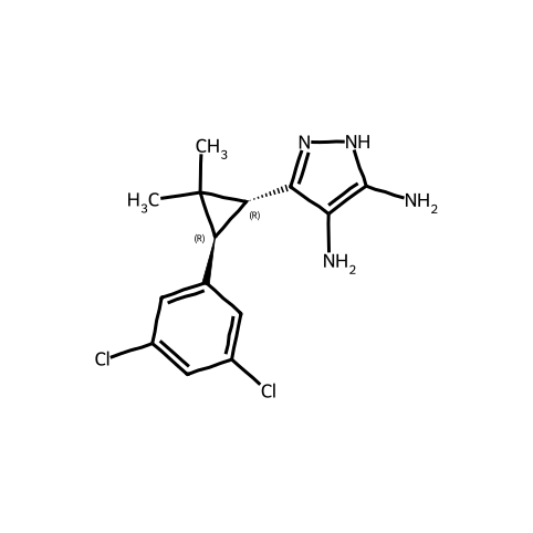 CC1(C)[C@H](c2cc(Cl)cc(Cl)c2)[C@H]1c1n[nH]c(N)c1N